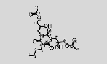 CCCCn1c(=O)n(CC(O)COC(C)=O)c(=O)n(CC(O)COC(C)=O)c1=O